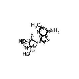 Cc1nc(N)c2scc([C@@H]3O[C@@](CO)(N=[N+]=[N-])[C@@H](O)[C@H]3F)c2n1